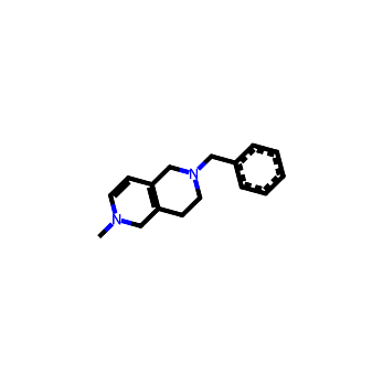 CN1C=CC2=C(CCN(Cc3ccccc3)C2)C1